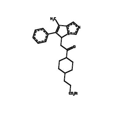 CCOC(=O)CCC1CCC(C(=O)CC2C(c3ccccc3)=C(C)c3cncn32)CC1